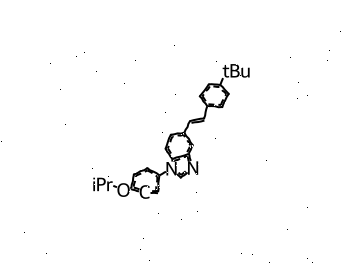 CC(C)Oc1ccc(-n2cnc3cc(C=Cc4ccc(C(C)(C)C)cc4)ccc32)cc1